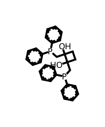 OC1(CP(c2ccccc2)c2ccccc2)CCC1(O)CP(c1ccccc1)c1ccccc1